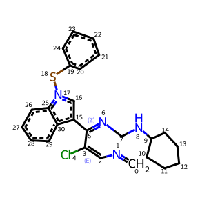 C=N/C=C(Cl)\C(=N/CNC1CCCCC1)c1cn(Sc2ccccc2)c2ccccc12